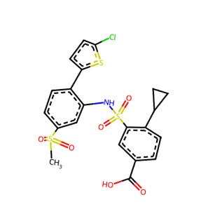 CS(=O)(=O)c1ccc(-c2ccc(Cl)s2)c(NS(=O)(=O)c2cc(C(=O)O)ccc2C2CC2)c1